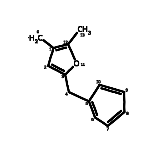 [CH2]c1cc(Cc2ccccc2)oc1C